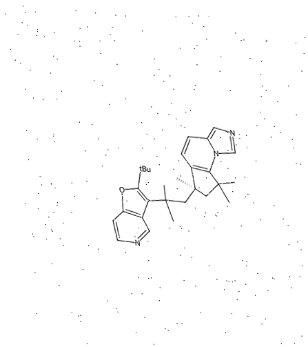 CC(C)(C)c1oc2ccncc2c1C(C)(C)C[C@]1(C)CC(C)(C)c2c1ccc1cncn21